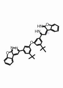 CC(C)(C)c1cc(Oc2cc(-c3cc4c(nn3)oc3ccccc34)cc(C(C)(C)C)c2)cc(C(=N)/C=C2\C(=N)Oc3ccccc32)c1